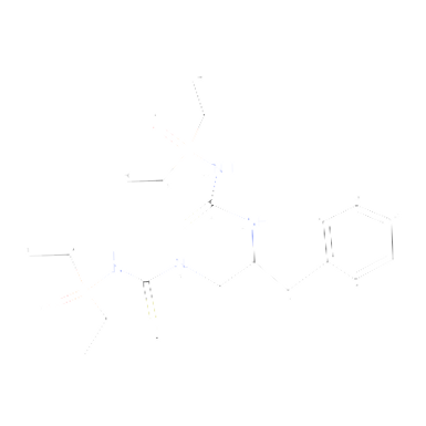 CCP(=O)(CC)NC(=S)NCC(Cc1ccccc1)NC(=S)NP(=O)(CC)CC